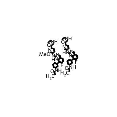 C=CC(=O)Nc1cccc(-c2c(F)ccc3cnc(Nc4ccc(C5CNCCO5)nc4)nc23)c1.C=CC(=O)Nc1cccc(-c2c(F)ccc3cnc(Nc4ccc(C5CNCCO5)nc4OC)nc23)c1